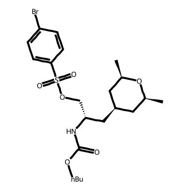 CCCCOC(=O)N[C@H](COS(=O)(=O)c1ccc(Br)cc1)C[C@H]1C[C@@H](C)O[C@@H](C)C1